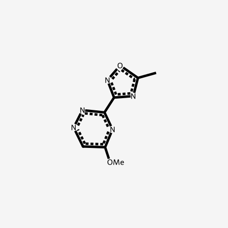 COc1cnnc(-c2noc(C)n2)n1